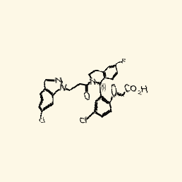 O=C(O)COc1ccc(Cl)cc1[C@@H]1c2ccc(F)cc2CCN1C(=O)CCn1ncc2ccc(Cl)cc21